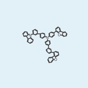 c1cc(-c2ccc(N(c3ccc(-c4cccc(-n5c6ccccc6c6ccccc65)c4)cc3)c3ccc(-c4cccc5c4oc4ccccc45)cc3)cc2)cc(-c2cccc3oc4ccccc4c23)c1